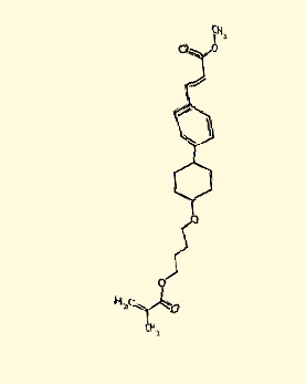 C=C(C)C(=O)OCCCCOC1CCC(c2ccc(/C=C/C(=O)OC)cc2)CC1